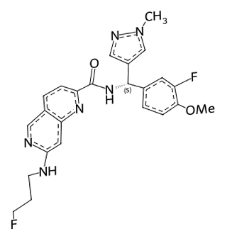 COc1ccc([C@H](NC(=O)c2ccc3cnc(NCCCF)cc3n2)c2cnn(C)c2)cc1F